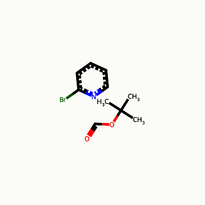 Brc1ccccn1.CC(C)(C)OC=O